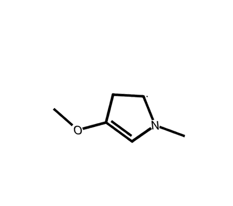 COC1=CN(C)[CH]C1